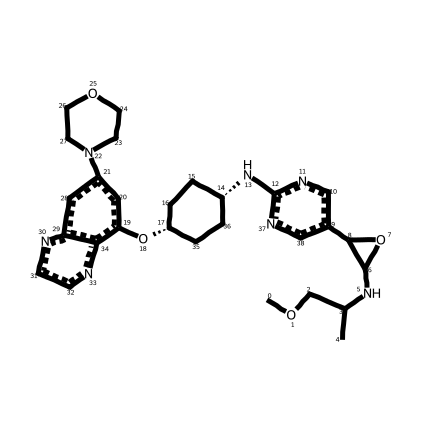 COCC(C)NC1OC1c1cnc(N[C@H]2CC[C@@H](Oc3cc(N4CCOCC4)cc4nccnc34)CC2)nc1